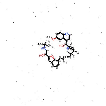 C=C[C@H]1C[N@]2CC[C@H]1C[C@@H]2[C@@H](O)c1ccnc2ccc(OC)cc12.CCc1cccc2cc(C(O)CNC(C)(C)C)oc12